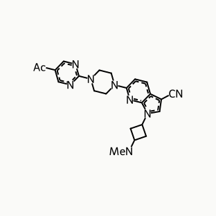 CNC1CC(n2cc(C#N)c3ccc(N4CCN(c5ncc(C(C)=O)cn5)CC4)nc32)C1